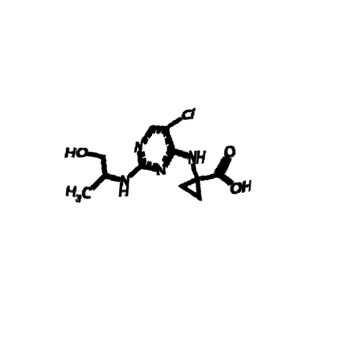 CC(CO)Nc1ncc(Cl)c(NC2(C(=O)O)CC2)n1